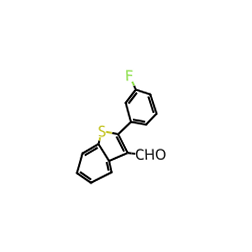 O=Cc1c(-c2cccc(F)c2)sc2ccccc12